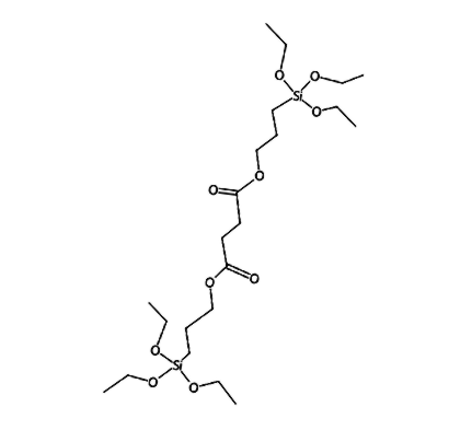 CCO[Si](CCCOC(=O)CCC(=O)OCCC[Si](OCC)(OCC)OCC)(OCC)OCC